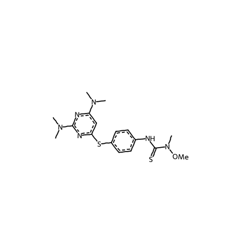 CON(C)C(=S)Nc1ccc(Sc2cc(N(C)C)nc(N(C)C)n2)cc1